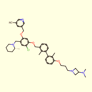 Cc1c(COc2cc(OCc3cncc(C#N)c3)c(CN3CCCC[C@H]3C)cc2Cl)cccc1-c1cccc(OCCCN2CC(N(C)C)C2)c1C